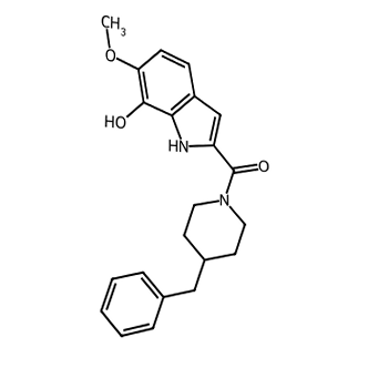 COc1ccc2cc(C(=O)N3CCC(Cc4ccccc4)CC3)[nH]c2c1O